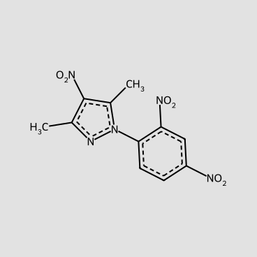 Cc1nn(-c2ccc([N+](=O)[O-])cc2[N+](=O)[O-])c(C)c1[N+](=O)[O-]